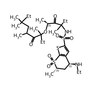 CCN[C@H]1C[C@H](C)S(=O)(=O)c2sc(S(=O)(=O)NC(C)(CC)C(=O)[C@H](C)OC(C)(CC)C(=O)C(C)CC(C)(C)CC)cc21